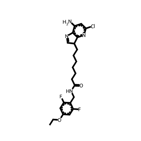 CCOc1cc(F)c(CNC(=O)CCCCCCC2C=Nc3c(N)cc(Cl)nc32)c(F)c1